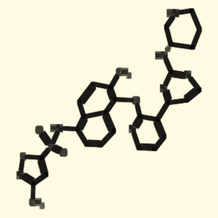 Cc1cc(S(=O)(=O)Nc2cccc3c(Oc4ncccc4-c4ccnc(N[C@H]5CCCNC5)n4)c(C)ccc23)sn1